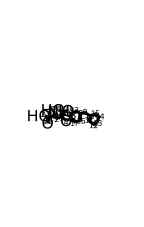 N[C@@H](CC(Oc1ccc(Cc2ccccc2)cc1)C(=O)O)C(=O)O